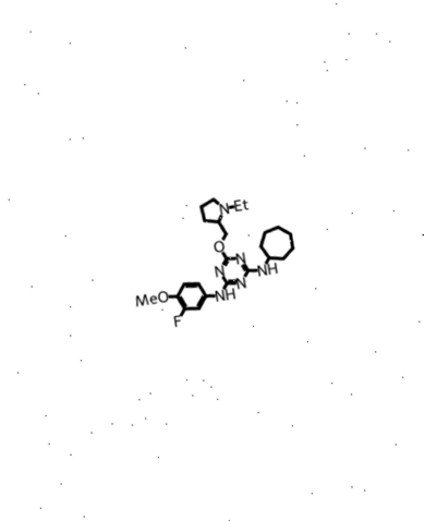 CCN1CCCC1COc1nc(Nc2ccc(OC)c(F)c2)nc(NC2CCCCCC2)n1